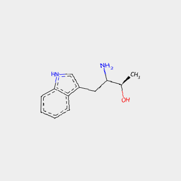 C[C@@H](O)C(N)Cc1c[nH]c2ccccc12